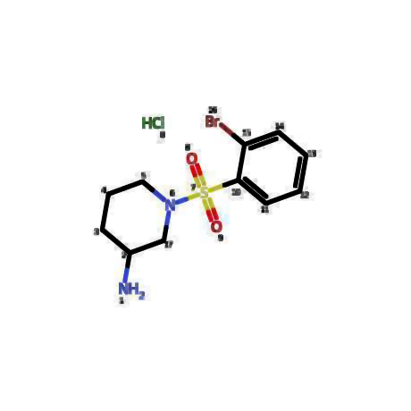 Cl.NC1CCCN(S(=O)(=O)c2ccccc2Br)C1